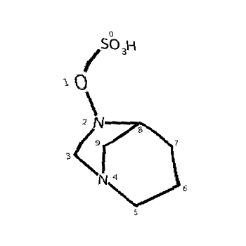 O=S(=O)(O)ON1CN2CCCC1C2